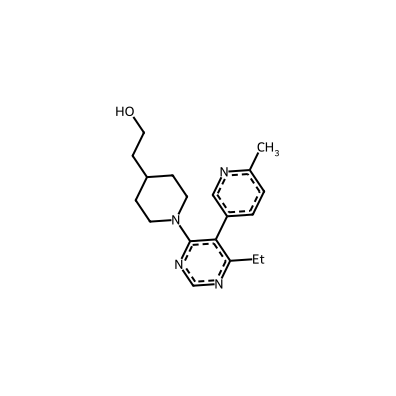 CCc1ncnc(N2CCC(CCO)CC2)c1-c1ccc(C)nc1